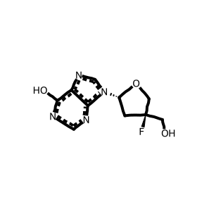 OC[C@@]1(F)CO[C@@H](n2cnc3c(O)ncnc32)C1